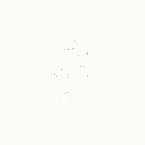 NC(=O)N(O)Cc1cccc(CC(c2ccccc2)c2cccnc2)c1